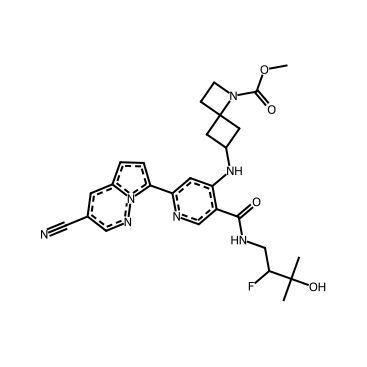 COC(=O)N1CCC12CC(Nc1cc(-c3ccc4cc(C#N)cnn34)ncc1C(=O)NCC(F)C(C)(C)O)C2